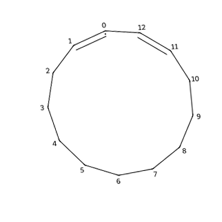 [C]1=CCCCCCCCCCC=C1